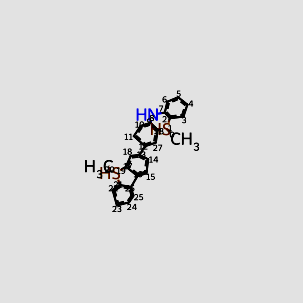 C[SH]1c2ccccc2Nc2ccc(-c3ccc4c(c3)[SH](C)c3ccccc3-4)cc21